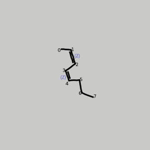 C/C=C\C=C/CCC